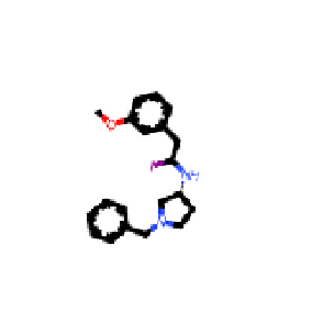 COc1cccc(CC(I)N[C@@H]2CCN(Cc3ccccc3)C2)c1